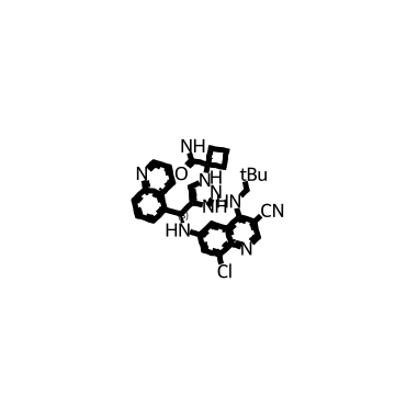 CC(C)(C)CNc1c(C#N)cnc2c(Cl)cc(N[C@H](C3=CN(C4(C(N)=O)CCC4)NN3)c3cccc4ncccc34)cc12